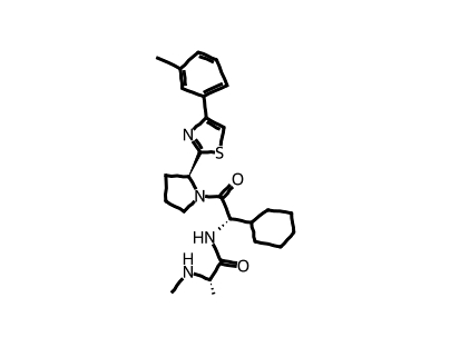 CN[C@@H](C)C(=O)N[C@H](C(=O)N1CCC[C@H]1c1nc(-c2cccc(C)c2)cs1)C1CCCCC1